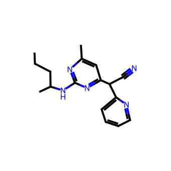 CCCC(C)Nc1nc(C)cc(C(C#N)c2ccccn2)n1